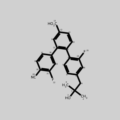 CC(C)(O)Cc1ccc(-c2ccc(C(=O)O)cc2-c2ccc(C#N)c(F)c2)c(F)c1